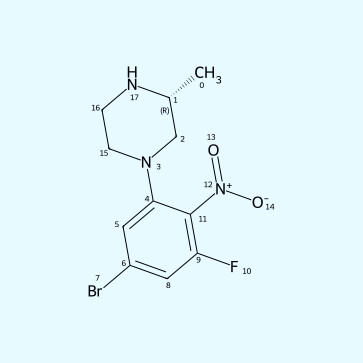 C[C@@H]1CN(c2cc(Br)cc(F)c2[N+](=O)[O-])CCN1